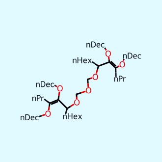 CCCCCCCCCCOC(CCC)=C(OCCCCCCCCCC)C(CCCCCC)OCOCOC(CCCCCC)C(OCCCCCCCCCC)=C(CCC)OCCCCCCCCCC